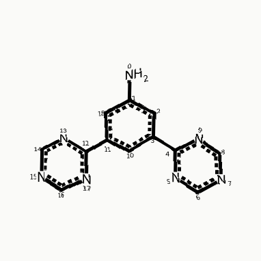 Nc1cc(-c2ncncn2)cc(-c2ncncn2)c1